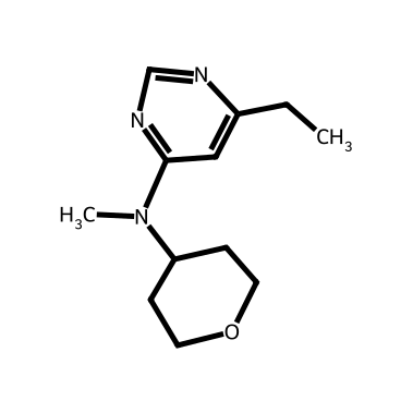 CCc1cc(N(C)C2CCOCC2)ncn1